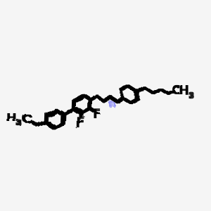 CCCCCC1=CCC(/C=C/CCc2ccc(-c3ccc(CC)cc3)c(F)c2F)CC1